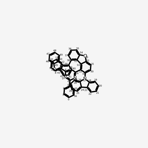 c1ccc(-c2nc(-c3ccccc3)nc(-c3c(-n4c5ccccc5c5ccccc54)ccc4oc5cccc(-c6cccc7oc8ccccc8c67)c5c34)n2)cc1